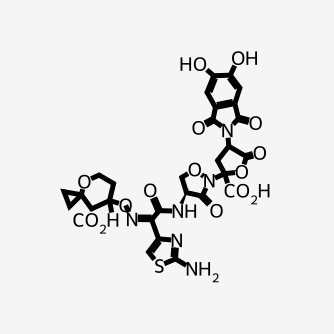 Nc1nc(/C(=N/OC2(C(=O)O)CCOC3(CC3)C2)C(=O)N[C@H]2CON(C3(C(=O)O)CC(N4C(=O)c5cc(O)c(O)cc5C4=O)C(=O)O3)C2=O)cs1